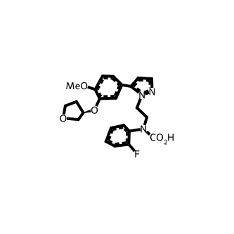 COc1ccc(-c2ccnn2CCN(C(=O)O)c2ccccc2F)cc1O[C@@H]1CCOC1